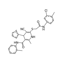 CC1=C(C(=O)Nc2ccccc2C)C(c2cccs2)C(C#N)=C(SCC(=O)Nc2ccc(C)c(Cl)c2)N1